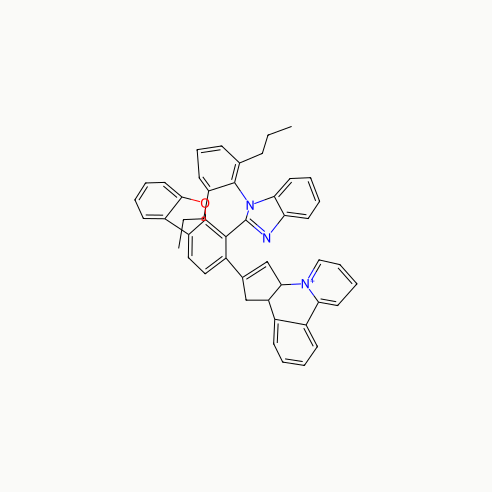 CCCc1cccc(CCC)c1-n1c(-c2c(C3=CC4C(C3)c3ccccc3-c3cccc[n+]34)ccc3c2oc2ccccc23)nc2ccccc21